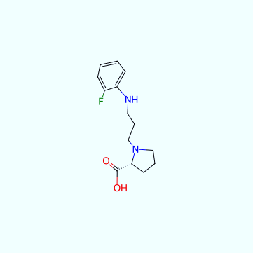 O=C(O)[C@H]1CCCN1CCCNc1ccccc1F